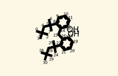 CC(C)(C)CC(C)(C)c1cccc(O)c1Cc1c(O)cccc1C(C)(C)CC(C)(C)C